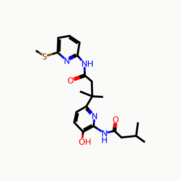 CSc1cccc(NC(=O)CC(C)(C)c2ccc(O)c(NC(=O)CC(C)C)n2)n1